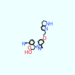 N#Cc1cccc(C(CC(=O)O)n2ncc3cc(OCCc4ccc5c(n4)NCCC5)ccc32)c1